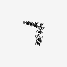 [Hg+].[Hg+].[Hg+].[Hg+].[Hg+].[Hg+].[Hg+].[Hg+].[Hg+].[Hg+].[Hg+].[Hg+].[O-]B([O-])[O-].[O-]B([O-])[O-].[O-]B([O-])[O-].[O-]B([O-])[O-]